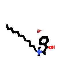 CCCCCCCCCCCC[N+](C)(C)C(C)C(O)c1ccccc1.[Br-]